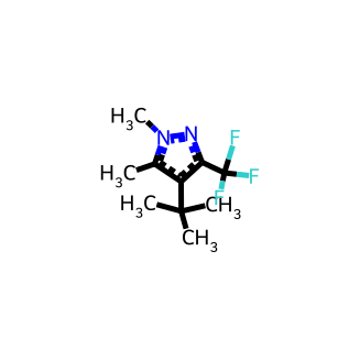 Cc1c(C(C)(C)C)c(C(F)(F)F)nn1C